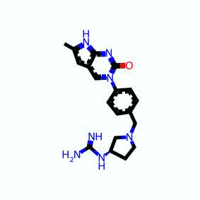 Cc1cc2cn(-c3ccc(CN4CC[C@@H](NC(=N)N)C4)cc3)c(=O)nc2[nH]1